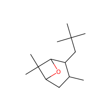 CC1CC2OC(C1CC(C)(C)C)C2(C)C